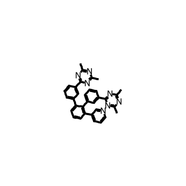 Cc1nc(C)nc(-c2cccc(-c3cccc(-c4cccnc4)c3-c3cccc(-c4nc(C)nc(C)n4)c3)c2)n1